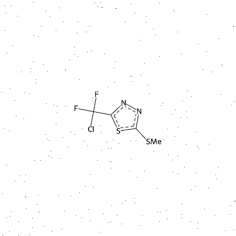 CSc1nnc(C(F)(F)Cl)s1